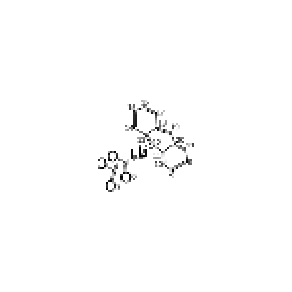 O=C[O-].O=C[O-].[Li+].[Li+].c1ccc2cc3ccccc3cc2c1